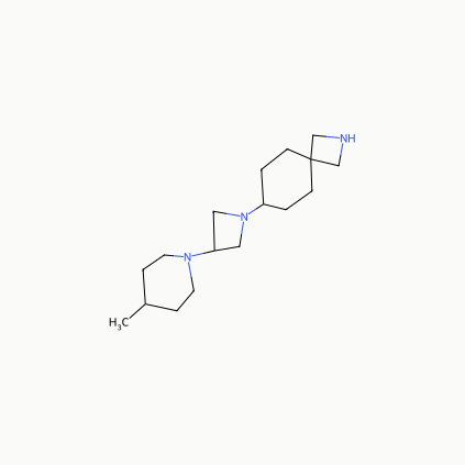 CC1CCN(C2CN(C3CCC4(CC3)CNC4)C2)CC1